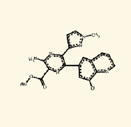 Cn1ccc(-c2nc(N)c(C(=O)OC(C)(C)C)nc2-c2cc(Cl)c3ncccc3c2)n1